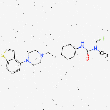 CN(CF)C(=O)N[C@H]1CC[C@H](CCN2CCN(c3cccc4sccc34)CC2)CC1